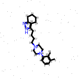 Cc1cccc(N2CCN(CCCCc3[nH]nc4c3CCCC4)CC2)c1C